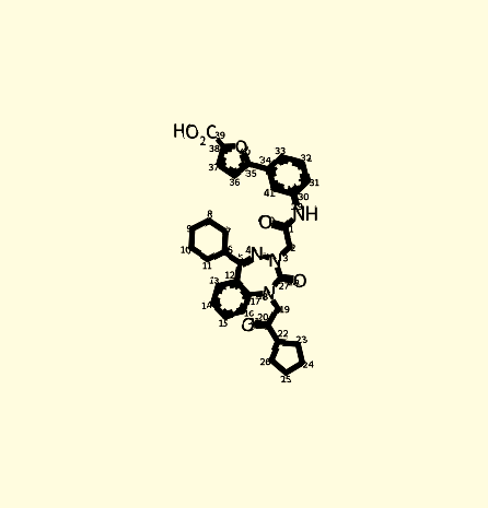 O=C(CN1N=C(C2CCCCC2)c2ccccc2N(CC(=O)C2CCCC2)C1=O)Nc1cccc(-c2ccc(C(=O)O)o2)c1